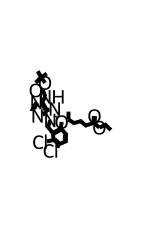 CCOC(=O)CCCC(C)Oc1ccc(Cl)c(Cl)c1Cn1cnc2c(NC(=O)OC(C)(C)C)ncnc21